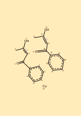 C/C(O)=C\C(=O)c1ccccc1.C/C(O)=C\C(=O)c1ccccc1.[Co]